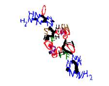 CP1(=O)OC[C@H]2S[C@@H](n3cnc4c(=O)[nH]c(N)nc43)[C@H](OP(=O)(S)OC[C@H]3O[C@@H](n4nnc5c(N)ncnc54)C(F)(F)[C@@H]3O1)[C@H]2F